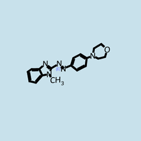 Cn1c(/N=N/c2ccc(N3CCOCC3)cc2)nc2ccccc21